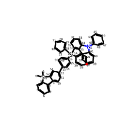 C[Si]1(C)c2ccccc2-c2ccc(-c3ccc([Si](c4ccccc4)(c4ccccc4)c4cccc5c4c4ccccc4n5-c4ccccc4)cc3)cc21